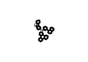 c1cc(-c2cccc3ccccc23)cc(N(c2ccc3oc4ccccc4c3c2)c2ccc3c4ccccc4c4ccccc4c3c2)c1